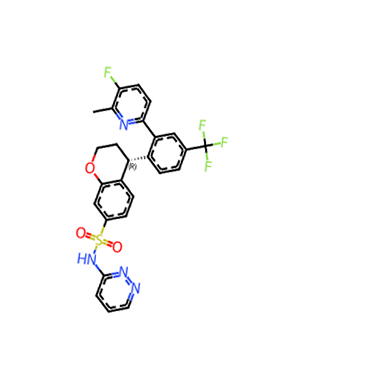 Cc1nc(-c2cc(C(F)(F)F)ccc2[C@H]2CCOc3cc(S(=O)(=O)Nc4cccnn4)ccc32)ccc1F